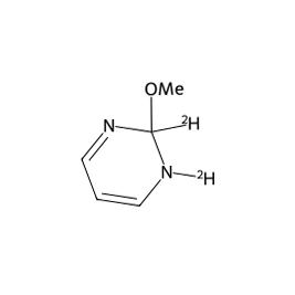 [2H]N1C=CC=NC1([2H])OC